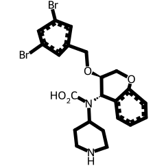 O=C(O)N(C1CCNCC1)[C@H]1c2ccccc2OC[C@@H]1OCc1cc(Br)cc(Br)c1